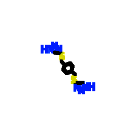 c1cc(CSc2c[nH]nn2)ccc1CSc1c[nH]nn1